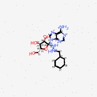 Nc1ncnc2c1ncn2[C@]1(NNCC2CCCCC2)O[C@H](CO)[C@@H](O)[C@H]1O